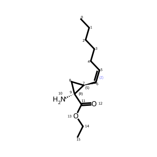 CCCCC/C=C\[C@@H]1C[C@]1(N)C(=O)OCC